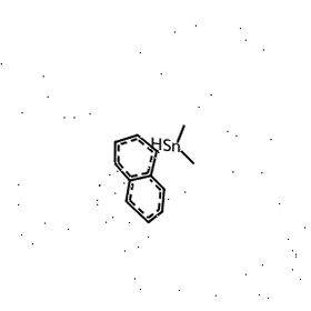 [CH3][SnH]([CH3])[c]1cccc2ccccc12